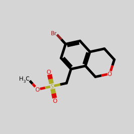 COS(=O)(=O)Cc1cc(Br)cc2c1COCC2